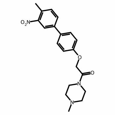 Cc1ccc(-c2ccc(OCC(=O)N3CCN(C)CC3)cc2)cc1[N+](=O)[O-]